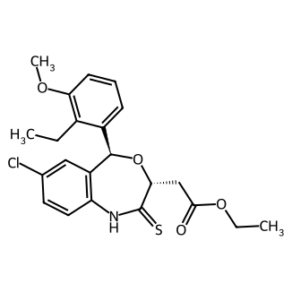 CCOC(=O)C[C@H]1O[C@H](c2cccc(OC)c2CC)c2cc(Cl)ccc2NC1=S